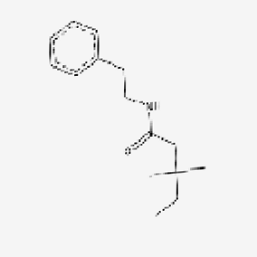 CCC(C)(C)CC(=O)NCCc1ccccc1